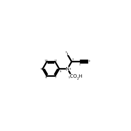 C#CC(I)N(C(=O)O)c1ccccc1